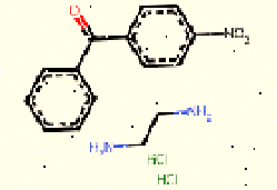 Cl.Cl.NCCN.O=C(c1ccccc1)c1ccc([N+](=O)[O-])cc1